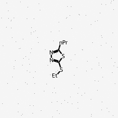 CCCc1nnc(SCC)s1